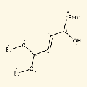 CCCCCC(O)C=CC(OCC)OCC